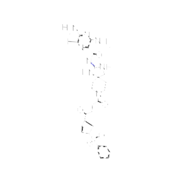 Nc1nc(N)c(C(=O)/N=C2\NCC3(CCN(C(=O)CCC(=O)C4=CC(S(=O)(=O)c5ccccc5)C=C4)CC3)N2)nc1I